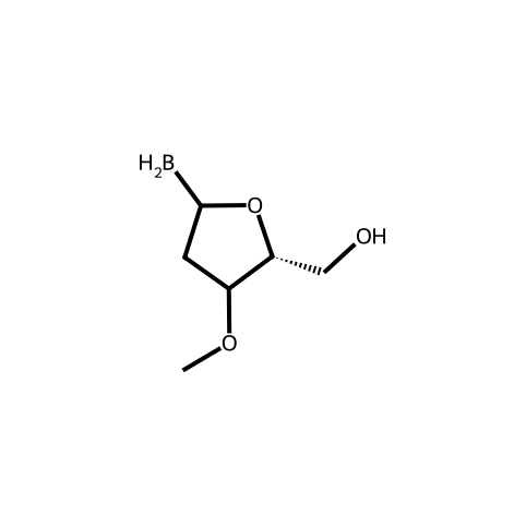 BC1CC(OC)[C@@H](CO)O1